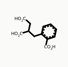 O=C(O)CC([CH]c1ccccc1C(=O)O)C(=O)O